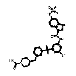 CC(C)(c1cccc(CN2CCN(C(=O)O)CC2)c1)c1cc(Br)cc(NC(=O)c2c[nH]c3cc(NS(C)(=O)=O)ccc23)c1